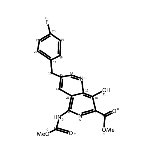 COC(=O)Nc1nc(C(=O)OC)c(O)c2ncc(Cc3ccc(F)cc3)cc12